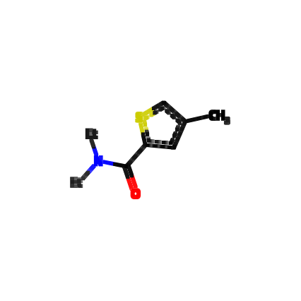 CCN(CC)C(=O)c1cc(C)cs1